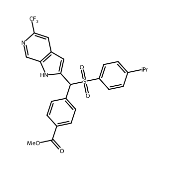 COC(=O)c1ccc(C(c2cc3cc(C(F)(F)F)ncc3[nH]2)S(=O)(=O)c2ccc(C(C)C)cc2)cc1